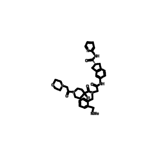 CCC1(C(=O)N(CC(=O)Nc2ccc3c(c2)C[C@H](C(=O)Nc2ccccn2)C3)Cc2ccccc2CNC)CCN(C(=O)CN2CCOCC2)CC1